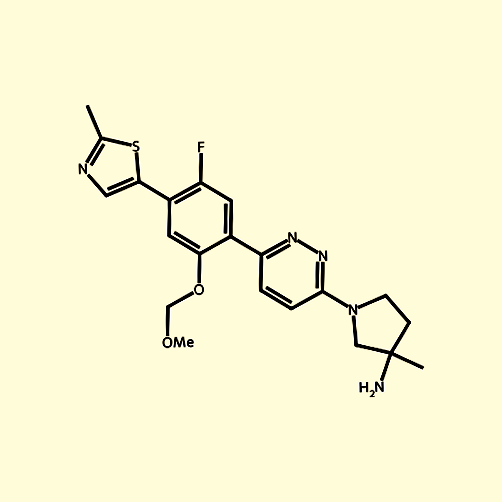 COCOc1cc(-c2cnc(C)s2)c(F)cc1-c1ccc(N2CCC(C)(N)C2)nn1